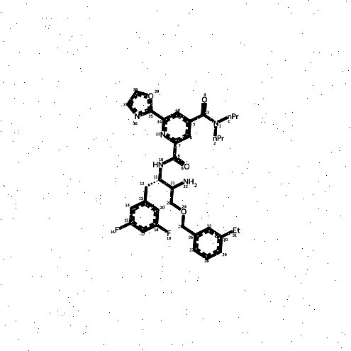 CCCN(CCC)C(=O)c1cc(C(=O)N[C@@H](Cc2cc(F)cc(F)c2)C(N)COCc2cccc(CC)c2)nc(-c2ncco2)c1